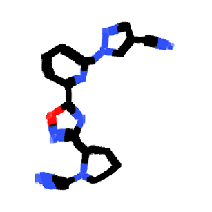 N#Cc1cnn(-c2cccc(-c3nc(C4CCCN4C#N)no3)n2)c1